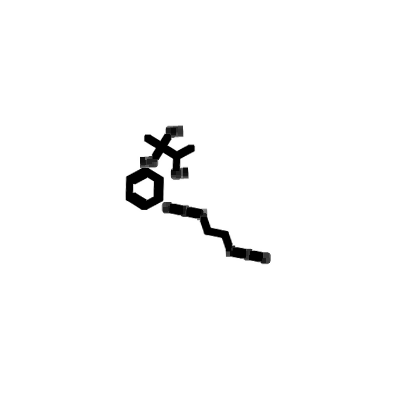 CC(O)C(C)(O)O.O=C=NCCN=C=O.c1ccccc1